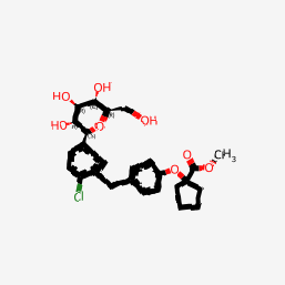 COC(=O)C1(Oc2ccc(Cc3cc([C@@H]4O[C@H](CO)[C@@H](O)[C@H](O)[C@H]4O)ccc3Cl)cc2)CCCC1